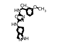 COc1cccc([C@@H](C)Nc2nnc(Nc3ccc4[nH]ncc4c3)o2)c1